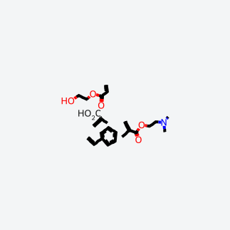 C=C(C)C(=O)O.C=C(C)C(=O)OCCN(C)C.C=CC(=O)OCCO.C=Cc1ccccc1